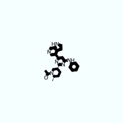 CC(=O)N1C[C@H](c2nc(Nc3ccccc3)cc(-c3cncc4[nH]ccc34)n2)CC[C@@H]1C